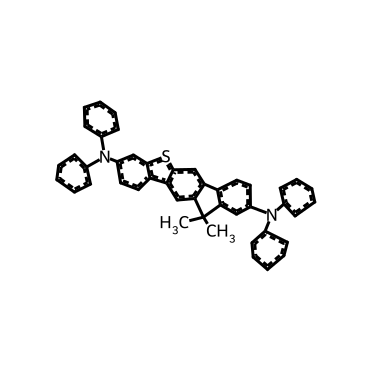 CC1(C)c2cc(N(c3ccccc3)c3ccccc3)ccc2-c2cc3sc4cc(N(c5ccccc5)c5ccccc5)ccc4c3cc21